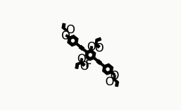 C=CC(=O)Oc1ccc(C#Cc2cc(OC(=O)C=C)c(C#Cc3ccc(OC(=O)C=C)cc3)c(OC(=O)C=C)c2F)cc1